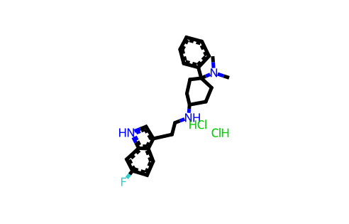 CN(C)C1(c2ccccc2)CCC(NCCc2c[nH]c3cc(F)ccc23)CC1.Cl.Cl